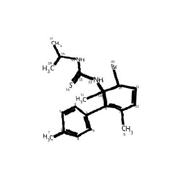 CC1=C(c2ccc(C)cc2)C(C)(NC(=S)NC(C)C)C(Br)C=C1